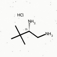 CC(C)(C)[C@H](N)CN.Cl